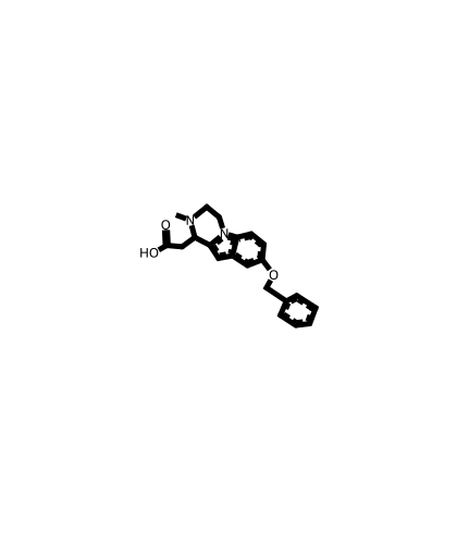 CN1CCn2c(cc3cc(OCc4ccccc4)ccc32)C1CC(=O)O